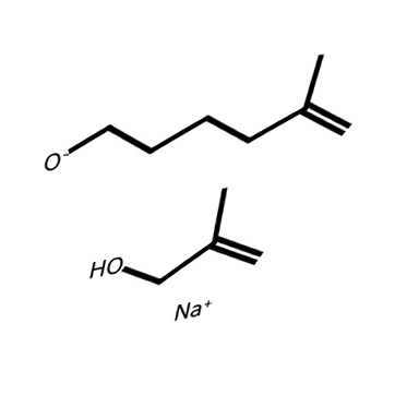 C=C(C)CCCC[O-].C=C(C)CO.[Na+]